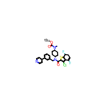 CN(C(=O)OC(C)(C)C)[C@H]1CC[C@H](N(Cc2cccc(-c3ccncc3)c2)C(=O)c2sc3c(c2Cl)C(F)=CCC3F)CC1